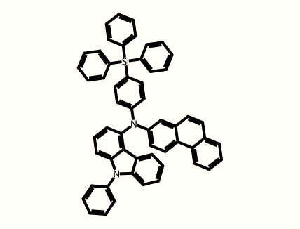 c1ccc(-n2c3ccccc3c3c(N(c4ccc([Si](c5ccccc5)(c5ccccc5)c5ccccc5)cc4)c4ccc5c(ccc6ccccc65)c4)cccc32)cc1